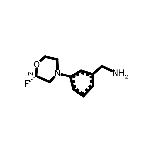 NCc1cccc(N2CCO[C@@H](F)C2)c1